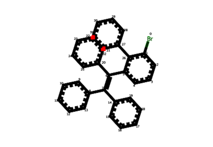 Brc1cccc(C(=C(c2ccccc2)c2ccccc2)c2ccccc2)c1-c1ccccc1